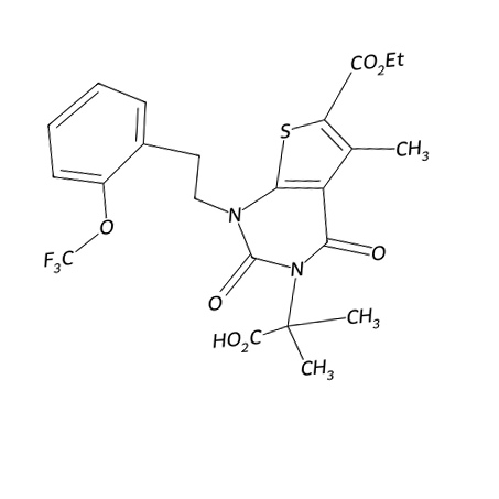 CCOC(=O)c1sc2c(c1C)c(=O)n(C(C)(C)C(=O)O)c(=O)n2CCc1ccccc1OC(F)(F)F